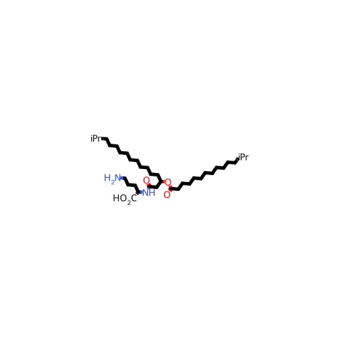 CC(C)CCCCCCCCCCCC(=O)OC(CCCCCCCCCCCC(C)C)CC(=O)NC(CCCN)C(=O)O